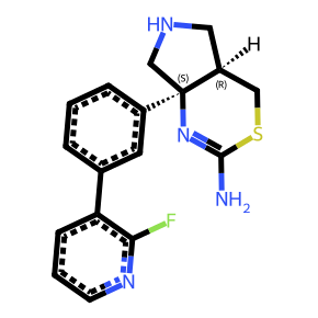 NC1=N[C@@]2(c3cccc(-c4cccnc4F)c3)CNC[C@H]2CS1